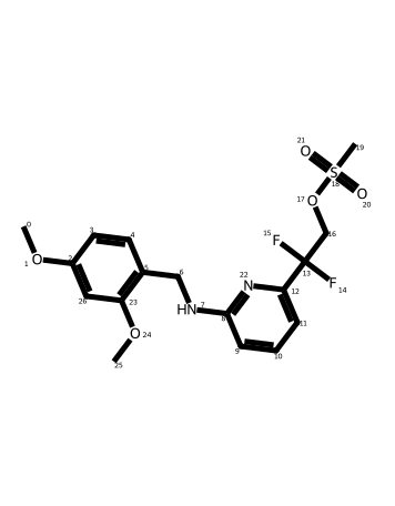 COc1ccc(CNc2cccc(C(F)(F)COS(C)(=O)=O)n2)c(OC)c1